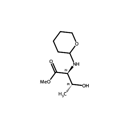 COC(=O)[C@@H](NC1CCCCO1)[C@@H](C)O